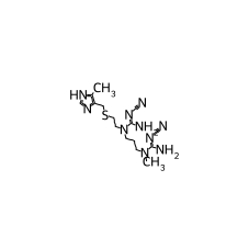 Cc1[nH]cnc1CSCCN(CCCN(C)C(N)=NC#N)C(N)=NC#N